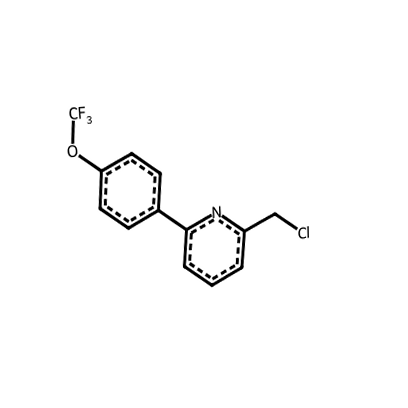 FC(F)(F)Oc1ccc(-c2cccc(CCl)n2)cc1